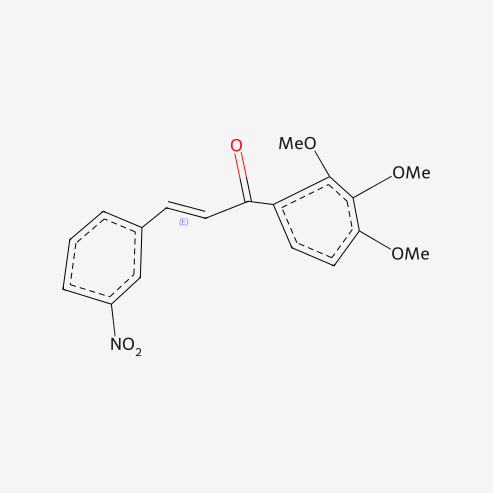 COc1ccc(C(=O)/C=C/c2cccc([N+](=O)[O-])c2)c(OC)c1OC